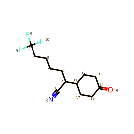 N#CC(CCCCC(F)(F)F)C1CCC(=O)CC1